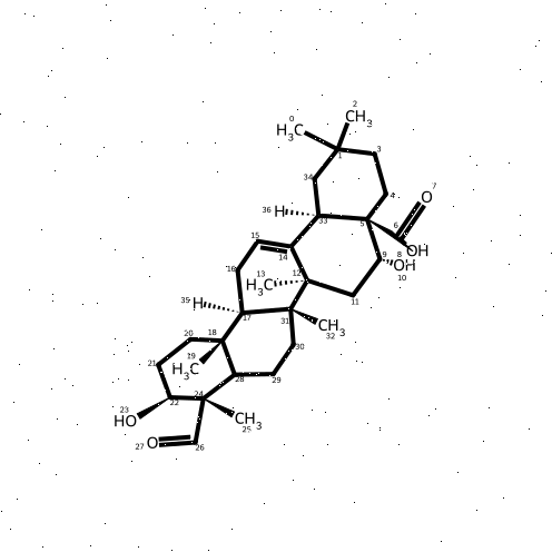 CC1(C)CC[C@]2(C(=O)O)[C@H](O)C[C@]3(C)C(=CC[C@@H]4[C@@]5(C)CC[C@H](O)[C@@](C)(C=O)C5CC[C@]43C)[C@H]2C1